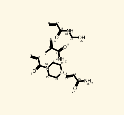 C=C(C)C(N)=O.C=CC(=O)N1CCOCC1.C=CC(=O)NCO.C=CC(N)=O